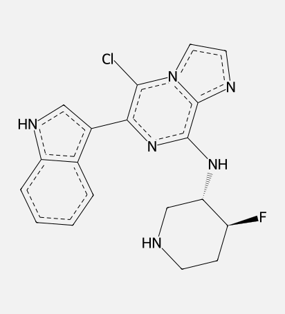 F[C@H]1CCNC[C@@H]1Nc1nc(-c2c[nH]c3ccccc23)c(Cl)n2ccnc12